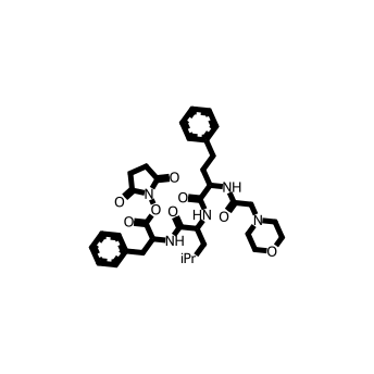 CC(C)CC(NC(=O)C(CCc1ccccc1)NC(=O)CN1CCOCC1)C(=O)NC(Cc1ccccc1)C(=O)ON1C(=O)CCC1=O